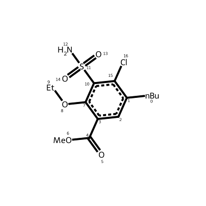 CCCCc1cc(C(=O)OC)c(OCC)c(S(N)(=O)=O)c1Cl